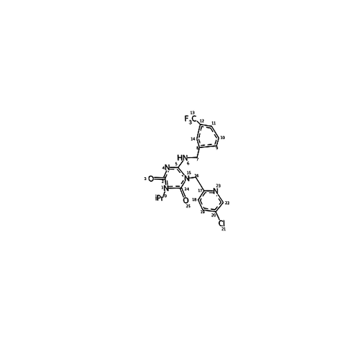 CC(C)n1c(=O)nc(NCc2cccc(C(F)(F)F)c2)n(Cc2ccc(Cl)cn2)c1=O